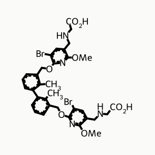 COc1nc(OCc2cccc(-c3cccc(COc4nc(OC)c(CNCC(=O)O)cc4Br)c3C)c2C)c(Br)cc1CNCC(=O)O